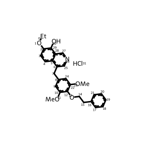 CCOc1ccc2c(Cc3cc(OC)c(OCCc4ccccc4)c(OC)c3)cncc2c1O.Cl